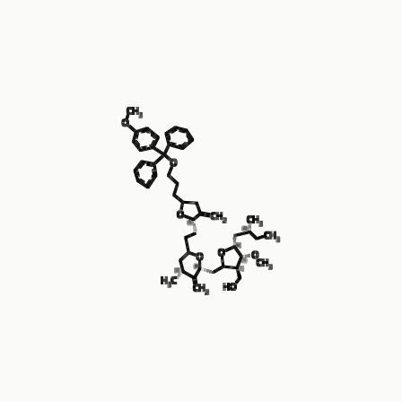 C=C1CC(CCCOC(c2ccccc2)(c2ccccc2)c2ccc(OC)cc2)O[C@H]1CCC1C[C@@H](C)C(=C)[C@@H](CC2O[C@H](C[C@H](C)CC)[C@H](OC)[C@H]2CO)O1